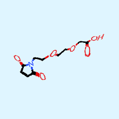 O=C(O)COCCOCCN1C(=O)C=CC1=O